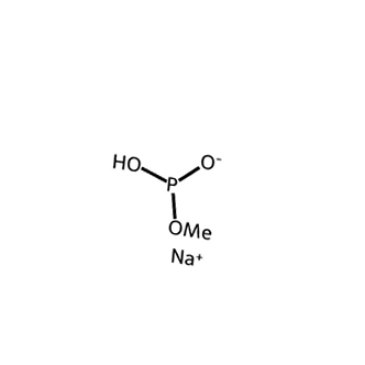 COP([O-])O.[Na+]